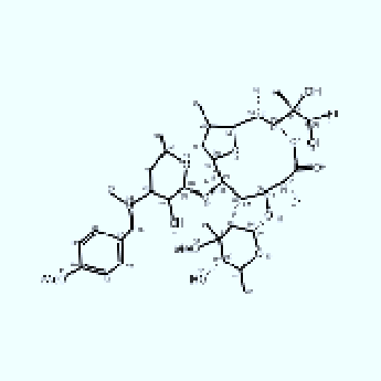 CC[C@@H](O)[C@@](C)(O)[C@@H]1OC(=O)[C@H](C)[C@@H](O[C@H]2CC(C)(OC)[C@@H](O)C(C)O2)[C@H](C)[C@@H](O[C@@H]2OC(C)CC(N(C)Cc3ccc(OC)cc3)C2O)[C@@]2(C)CC(C)C(O2)[C@@H]1C